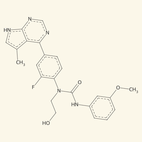 COc1cccc(NC(=O)N(CCO)c2ccc(-c3ncnc4[nH]cc(C)c34)cc2F)c1